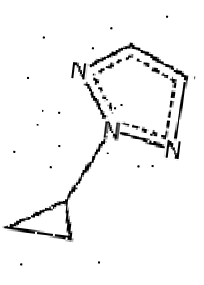 [c]1cnn(C2CC2)n1